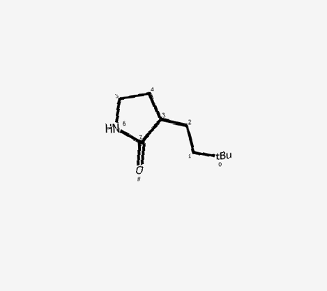 CC(C)(C)CCC1CCNC1=O